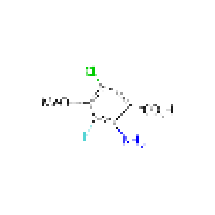 COc1c(Cl)cc(C(=O)O)c(N)c1F